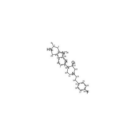 CC1Cc2c(c3ccc(N4CCN(CCc5ccc(F)cc5)CC4=O)nc3n2C)CN1